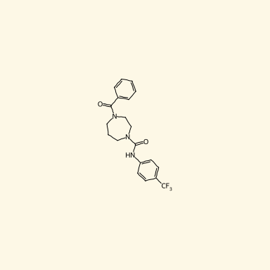 O=C(Nc1ccc(C(F)(F)F)cc1)N1CCCN(C(=O)c2ccccc2)CC1